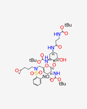 CC(C)(C)OC(=O)NCCC(=O)N[C@H]1C[C@@H](O)[C@H](O[C@H]2OC(CN(CCCC3CO3)S(=O)(=O)c3ccccc3[N+](=O)[O-])=CC[C@H]2NC(=O)OC(C)(C)C)[C@@H](NC(=O)OC(C)(C)C)C1